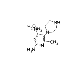 Cc1nc(N)nc(N)c1N1CCNCC1.O